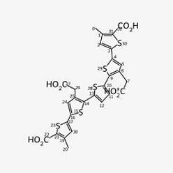 Cc1cc(-c2cc(CC(=O)O)c(-c3ccc(-c4sc(-c5cc(C)c(C(=O)O)s5)cc4CC(=O)O)s3)s2)sc1C(=O)O